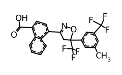 Cc1cc(C(F)(F)F)cc(C2(C(F)(F)F)CC(c3ccc(C(=O)O)c4ccccc34)=NO2)c1